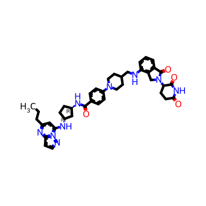 CCCc1cc(N[C@@H]2CC[C@@H](NC(=O)c3ccc(N4CCC(CNc5cccc6c5CN(C5CCC(=O)NC5=O)C6=O)CC4)cc3)C2)n2nccc2n1